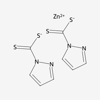 S=C([S-])n1cccn1.S=C([S-])n1cccn1.[Zn+2]